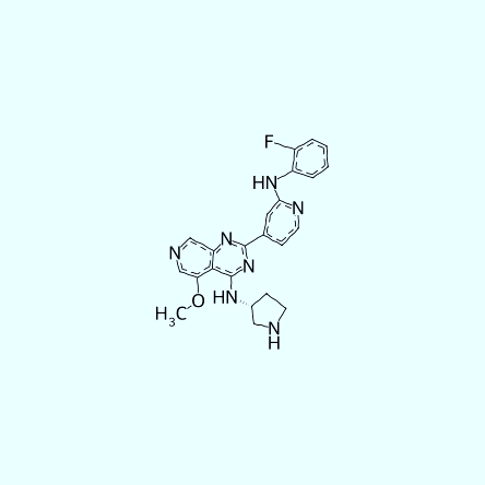 COc1cncc2nc(-c3ccnc(Nc4ccccc4F)c3)nc(N[C@@H]3CCNC3)c12